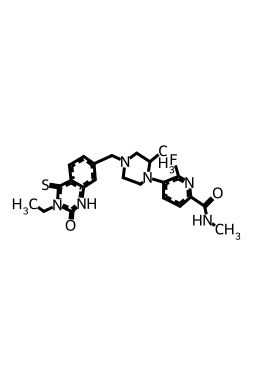 CCn1c(=O)[nH]c2cc(CN3CCN(c4ccc(C(=O)NC)nc4F)C(C)C3)ccc2c1=S